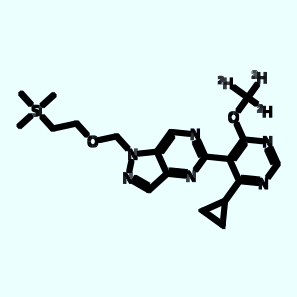 [2H]C([2H])([2H])Oc1ncnc(C2CC2)c1-c1ncc2c(cnn2COCC[Si](C)(C)C)n1